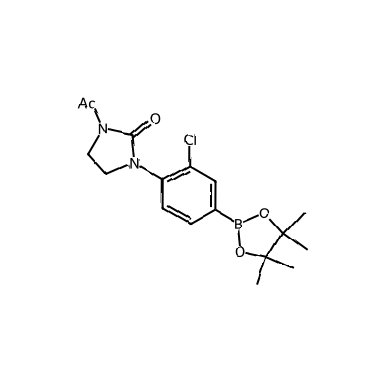 CC(=O)N1CCN(c2ccc(B3OC(C)(C)C(C)(C)O3)cc2Cl)C1=O